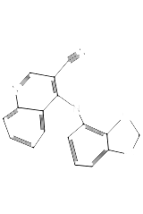 N#Cc1cnc2ccccc2c1Nc1cccc2c1OCO2